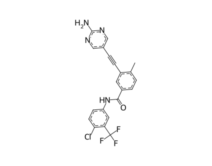 Cc1ccc(C(=O)Nc2ccc(Cl)c(C(F)(F)F)c2)cc1C#Cc1cnc(N)nc1